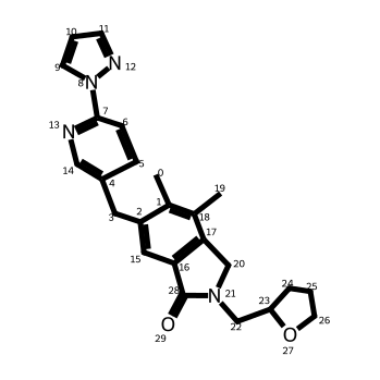 Cc1c(Cc2ccc(-n3cccn3)nc2)cc2c(c1C)CN(CC1CCCO1)C2=O